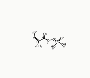 CC(=CBr)C(=O)OOP(=O)(O)O